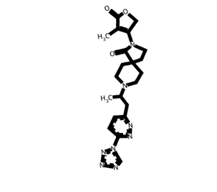 CC1=C(N2CCC3(CCN(C(C)Cc4ccc(-n5cnnn5)nn4)CC3)C2=O)COC1=O